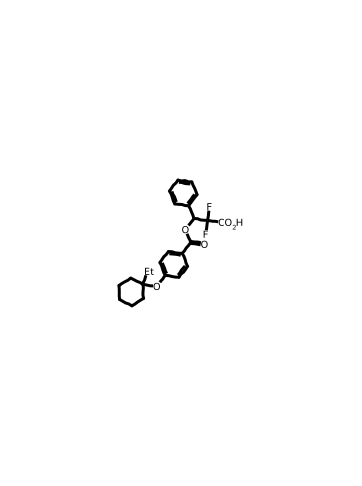 CCC1(Oc2ccc(C(=O)OC(c3ccccc3)C(F)(F)C(=O)O)cc2)CCCCC1